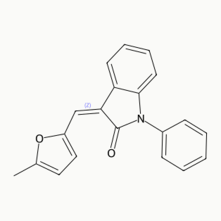 Cc1ccc(/C=C2\C(=O)N(c3ccccc3)c3ccccc32)o1